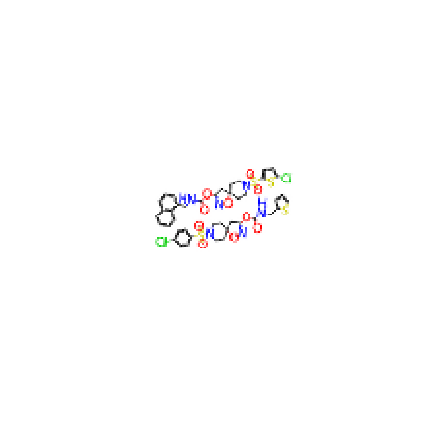 O=C(NCc1cccc2ccccc12)OC1=NOC2(CCN(S(=O)(=O)c3ccc(Cl)s3)CC2)C1.O=C(NCc1cccs1)OC1=NOC2(CCN(S(=O)(=O)c3ccc(Cl)cc3)CC2)C1